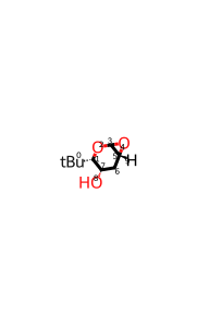 CC(C)(C)[C@@H]1OC2O[C@@H]2C[C@@H]1O